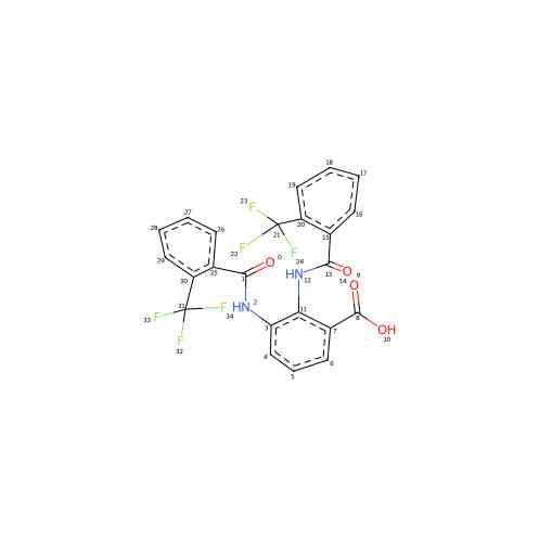 O=C(Nc1cccc(C(=O)O)c1NC(=O)c1ccccc1C(F)(F)F)c1ccccc1C(F)(F)F